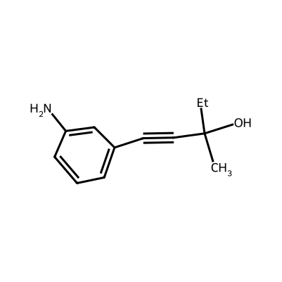 CCC(C)(O)C#Cc1cccc(N)c1